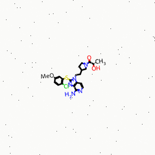 COc1ccc(Cl)c(Sc2nc3c(N)nccc3n2CCC2CCN(C(=O)[C@H](C)O)C2)c1